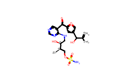 C=C(C)C(O)c1coc(C(=O)c2cncnc2NC[C@H](O)[C@H](CC)COS(N)(=O)=O)c1